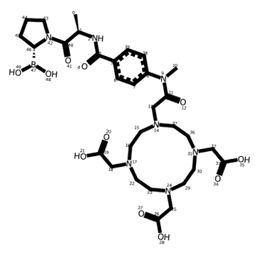 C[C@@H](NC(=O)c1ccc(N(C)C(=O)CN2CCN(CC(=O)O)CCN(CC(=O)O)CCN(CC(=O)O)CC2)cc1)C(=O)N1CCC[C@H]1B(O)O